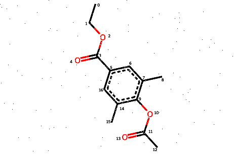 CCOC(=O)c1cc(C)c(OC(C)=O)c(C)c1